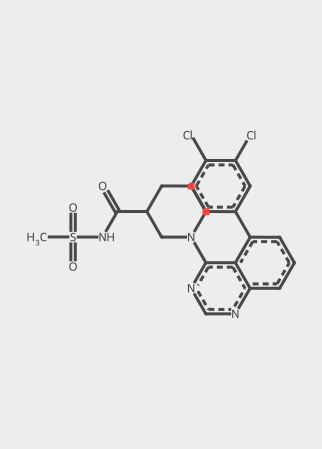 CS(=O)(=O)NC(=O)C1CCCN(c2ncnc3cccc(-c4ccc(Cl)c(Cl)c4)c23)C1